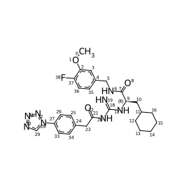 COc1cc(CNC(=O)[C@@H](CC2CCCCC2)NC(=N)NC(=O)Cc2ccc(-n3cnnn3)cc2)ccc1F